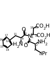 CC(C)C[C@H](N)C(=O)N(C(=O)[C@@H](N)Cc1ccccc1)[C@@H](CC(=O)O)C(=O)O